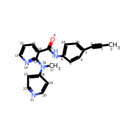 CC#Cc1ccc(NC(=O)c2cccnc2N(C)c2ccncc2)cc1